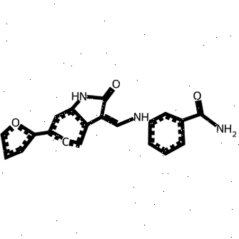 NC(=O)c1cccc(NC=C2C(=O)Nc3cc(-c4ccco4)ccc32)c1